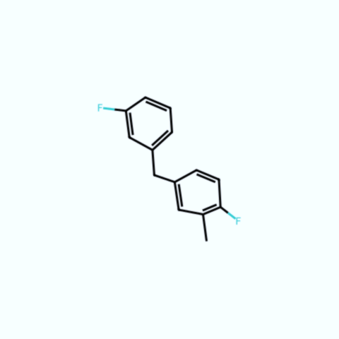 Cc1cc(Cc2cccc(F)c2)ccc1F